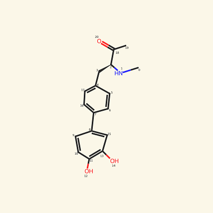 CN[C@@H](Cc1ccc(-c2ccc(O)c(O)c2)cc1)C(C)=O